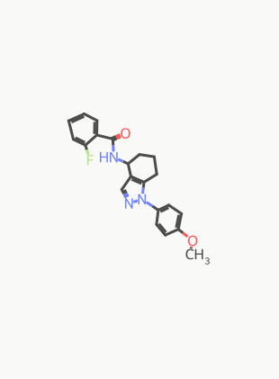 COc1ccc(-n2ncc3c2CCCC3NC(=O)c2ccccc2F)cc1